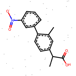 Cc1cc(C(C)C(=O)O)ccc1-c1cccc([N+](=O)[O-])c1